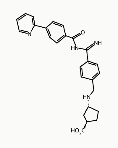 N=C(NC(=O)c1ccc(-c2ccccn2)cc1)c1ccc(CN[C@@H]2CC[C@@H](C(=O)O)C2)cc1